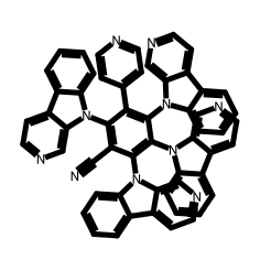 N#Cc1c(-n2c3ccccc3c3ccncc32)c(-c2ccncc2)c(-n2c3ccccc3c3ccncc32)c(-n2c3ccccc3c3ccncc32)c1-n1c2ccccc2c2ccncc21